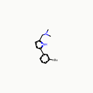 CCCCc1cccc(-c2ccc(CN(C)C)[nH]2)c1